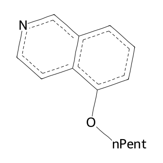 [CH2]CCCCOc1cccc2cnccc12